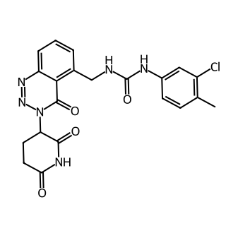 Cc1ccc(NC(=O)NCc2cccc3nnn(C4CCC(=O)NC4=O)c(=O)c23)cc1Cl